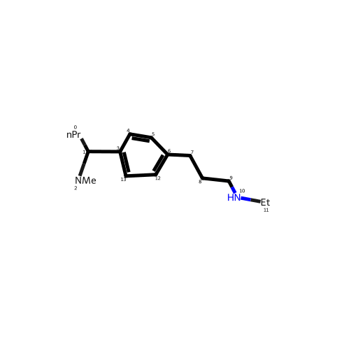 CCCC(NC)c1ccc(CCCNCC)cc1